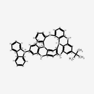 CC(C)(C)c1cc2c3c(c1)Oc1cccc4c1B3c1cc3c(cc1O2)Oc1cc(-n2c5ccccc5c5ccccc52)cc2c1B3c1c(cccc1O4)O2